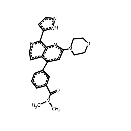 CN(C)C(=O)c1cccc(-c2cc(N3CCOCC3)nc3c(-c4ccn[nH]4)nccc23)c1